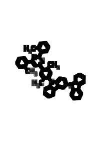 Cc1ccccc1-c1cc(-c2cc(C)c(-n3c4ccccc4c4cc(-n5c6ccccc6c6ccccc65)ccc43)cc2C)nc(-c2ccccc2C)n1